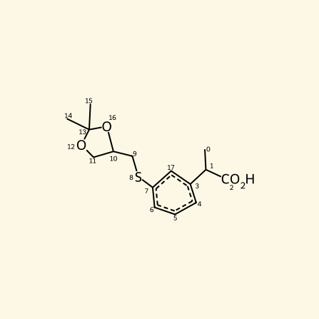 CC(C(=O)O)c1cccc(SCC2COC(C)(C)O2)c1